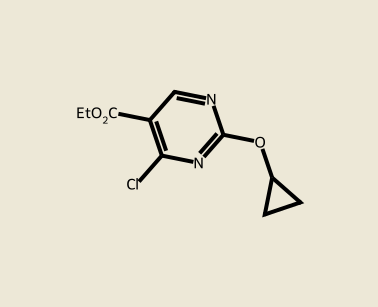 CCOC(=O)c1cnc(OC2CC2)nc1Cl